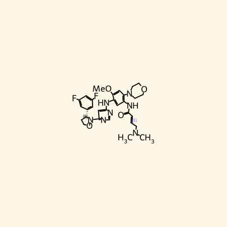 COc1cc(N2CCOCC2)c(NC(=O)/C=C/CN(C)C)cc1Nc1cc(N2OCC[C@@H]2c2cc(F)cc(F)c2)ncn1